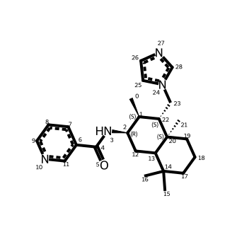 C[C@@H]1[C@H](NC(=O)c2cccnc2)CC2C(C)(C)CCC[C@]2(C)[C@H]1Cn1ccnc1